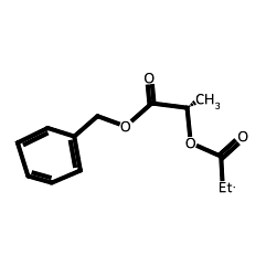 C[CH]C(=O)O[C@@H](C)C(=O)OCc1ccccc1